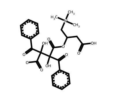 C[N+](C)(C)CC(CC(=O)O)OC(=O)C(O)(C(=O)c1ccccc1)C(O)(C(=O)[O-])C(=O)c1ccccc1